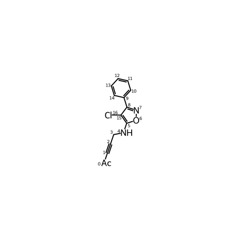 CC(=O)C#CCNc1onc(-c2ccccc2)c1Cl